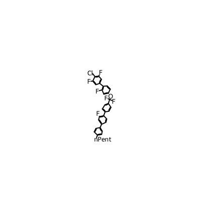 CCCCCc1ccc(-c2ccc(-c3ccc(C(F)(F)Oc4ccc(-c5cc(F)c(Cl)c(F)c5)c(F)c4)cc3)c(F)c2)cc1